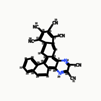 N#Cc1nc2c3cc4c(C#N)c(C#N)c(C#N)c(C#N)c4cc3c3c4ccccc4ccc3c2nc1C#N